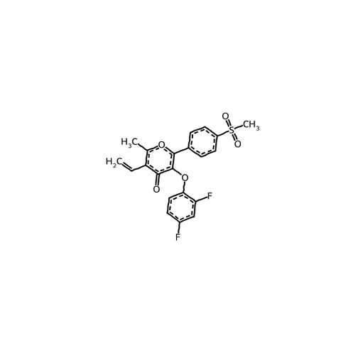 C=Cc1c(C)oc(-c2ccc(S(C)(=O)=O)cc2)c(Oc2ccc(F)cc2F)c1=O